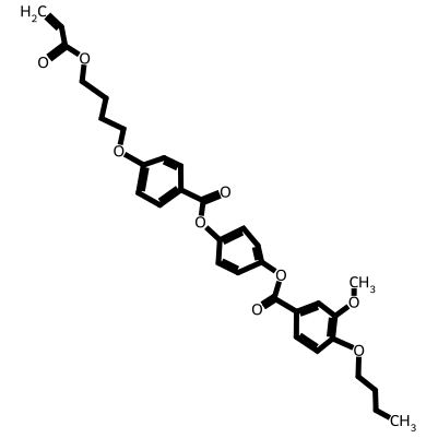 C=CC(=O)OCCCCOc1ccc(C(=O)Oc2ccc(OC(=O)c3ccc(OCCCC)c(OC)c3)cc2)cc1